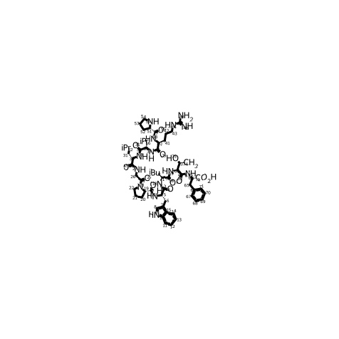 CC[C@H](C)[C@H](NC(=O)[C@H](Cc1c[nH]c2ccccc12)NC(=O)[C@@H]1CCCN1C(=O)CNC(=O)[C@H](CC(C)C)NC(=O)[C@@H](NC(=O)[C@H](CCCNC(=N)N)NC(=O)[C@@H]1CCCN1)C(C)C)C(=O)N[C@H](C(=O)N[C@@H](Cc1ccccc1)C(=O)O)[C@@H](C)O